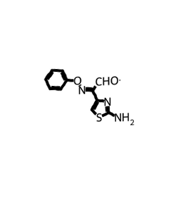 Nc1nc(/C([C]=O)=N/Oc2ccccc2)cs1